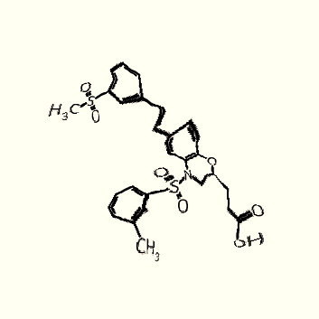 Cc1cccc(S(=O)(=O)N2C[C@H](CCC(=O)O)Oc3ccc(/C=C/c4cccc(S(C)(=O)=O)c4)cc32)c1